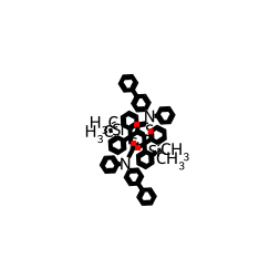 C[Si]1(C)c2ccccc2C2(c3ccccc31)c1cc(N(c3ccccc3)c3ccc(-c4ccccc4)cc3)sc1C1(c3ccccc3[Si](C)(C)c3ccccc31)c1cc(N(c3ccccc3)c3ccc(-c4ccccc4)cc3)sc12